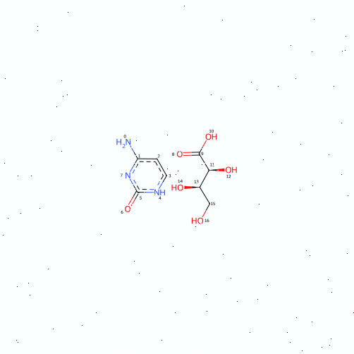 Nc1cc[nH]c(=O)n1.O=C(O)[C@@H](O)[C@H](O)CO